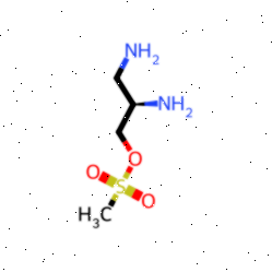 CS(=O)(=O)OC[C@H](N)CN